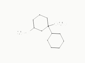 COC1CCCC(OC)(C2CCCCC2)C1